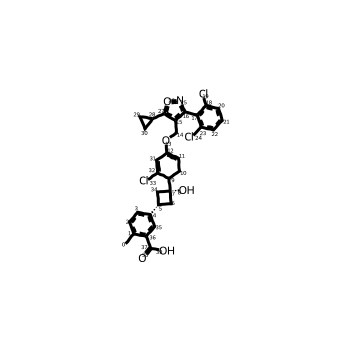 Cc1ccc([C@H]2C[C@](O)(C3CC=C(OCc4c(-c5c(Cl)cccc5Cl)noc4C4CC4)C=C3Cl)C2)cc1C(=O)O